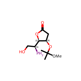 COC(C)(C)O[C@@H]1CC(=O)O[C@@H]1[C@@H](P)CO